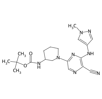 Cn1cc(Nc2nc(N3CCCC(NC(=O)OC(C)(C)C)C3)cnc2C#N)cn1